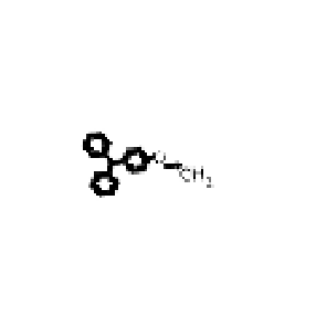 C=CCOc1ccc(C(c2ccccc2)c2ccccc2)cc1